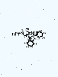 CCCN(C)CN1C(=O)NC(Cc2ccccc2)(c2ccccc2)C1=O